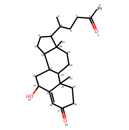 CC(C)C(=O)CCC(C)C1CCC2C3CC(O)C4=CC(=O)CCC4(C)C3CCC12C